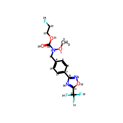 CON(Cc1ccc(-c2noc(C(F)(F)F)n2)cc1)C(=O)OCCF